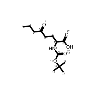 CCCC(=O)CCC(NC(=O)OC(C)(C)C)C(=O)O